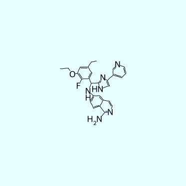 CCOc1cc(CC)cc(C(Nc2ccc3c(N)nccc3c2)c2nc(-c3cccnc3)c[nH]2)c1F